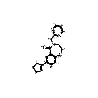 O=C1c2cc(C3=CCCC3)ccc2OCCN1Cc1ncccn1